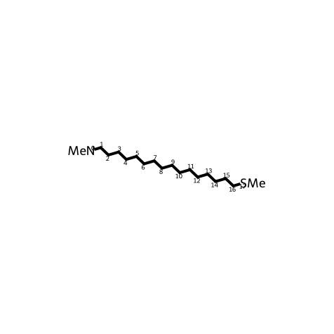 CNCCCCCCCCCCCCCCCCSC